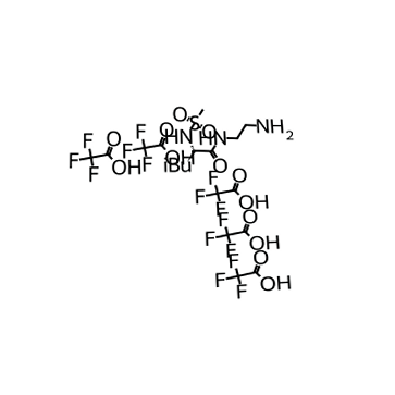 CC[C@H](C)[C@H](NS(C)(=O)=O)C(=O)NCCN.O=C(O)C(F)(F)F.O=C(O)C(F)(F)F.O=C(O)C(F)(F)F.O=C(O)C(F)(F)F.O=C(O)C(F)(F)F